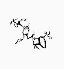 CCS(=O)(=O)c1ccc2c(c1)N(C(=O)CN1C[C@@H](C)N(C(=O)OC(C)(C)C)C[C@@H]1COC)CC2(C)C